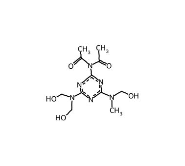 CC(=O)N(C(C)=O)c1nc(N(C)CO)nc(N(CO)CO)n1